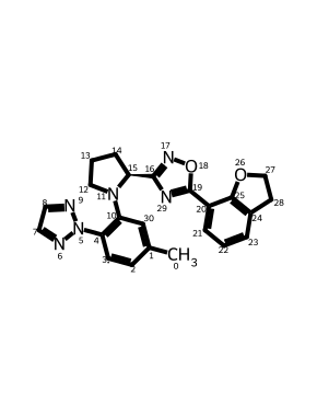 Cc1c[c]c(-n2nccn2)c(N2CCC[C@H]2c2noc(-c3cccc4c3OCC4)n2)c1